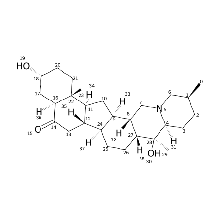 C[C@H]1CC[C@@H]2N(C1)C[C@H]1[C@@H]3C[C@H]4[C@@H](CC(=O)[C@H]5C[C@H](O)CC[C@@]54C)[C@@H]3CC[C@H]1[C@]2(C)O